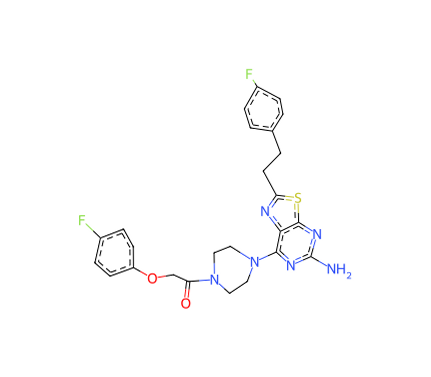 Nc1nc(N2CCN(C(=O)COc3ccc(F)cc3)CC2)c2nc(CCc3ccc(F)cc3)sc2n1